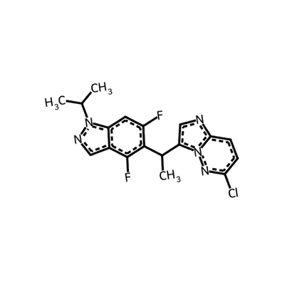 CC(c1c(F)cc2c(cnn2C(C)C)c1F)c1cnc2ccc(Cl)nn12